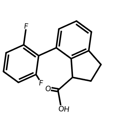 O=C(O)C1CCc2cccc(-c3c(F)cccc3F)c21